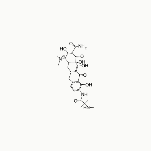 CNC(C)(C)C(=O)Nc1ccc2c(c1O)C(=O)C1=C(O)C3(O)C(=O)C(C(N)=O)=C(O)[C@@H](N(C)C)C3CC1C2